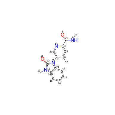 CNC(=O)c1cc(C)c(-n2c(=O)n(C)c3ccccc32)cn1